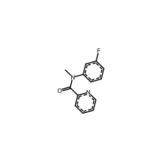 CN(C(=O)c1ccccn1)c1cccc(F)c1